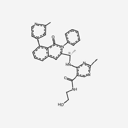 Cc1cc(-c2cccc3cc([C@H](C)Nc4nc(C)ncc4C(=O)NCCO)n(-c4ccccc4)c(=O)c23)ccn1